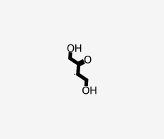 O=C([CH]CO)CO